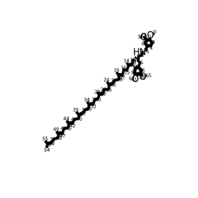 COc1ccc(CNCCN(C/C=C(\C)CC/C=C(\C)CC/C=C(\C)CC/C=C(\C)CC/C=C(\C)CC/C=C(\C)CC/C=C(\C)CC/C=C(\C)CCC=C(C)C)Cc2ccc(OC)c(OC)c2)cc1OC